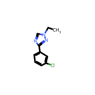 CCn1[c]nc(-c2cccc(Cl)c2)n1